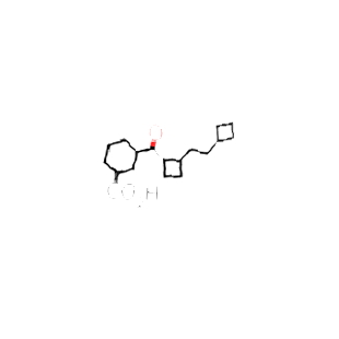 O=C(O)C1CCCC(C(=O)[C@@H]2CCC2CCC2CCC2)C1